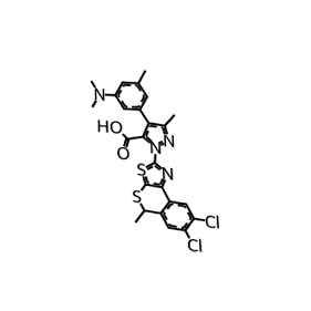 Cc1cc(-c2c(C)nn(-c3nc4c(s3)SC(C)c3cc(Cl)c(Cl)cc3-4)c2C(=O)O)cc(N(C)C)c1